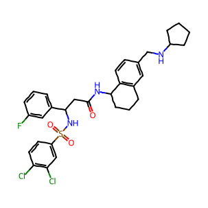 O=C(CC(NS(=O)(=O)c1ccc(Cl)c(Cl)c1)c1cccc(F)c1)NC1CCCc2cc(CNC3CCCC3)ccc21